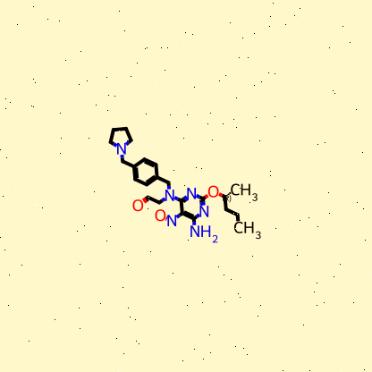 CCC[C@@H](C)Oc1nc(N)c(N=O)c(N(CC=O)Cc2ccc(CN3CCCC3)cc2)n1